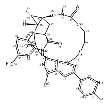 CC(=O)c1nn2c3c(cc(-c4cnc(C)nc4)cc13)CCCCCC(=O)N(C)C[C@@]13C[C@@H](C(=O)Nc4nc(C(F)(F)F)ccc4C)N(C(=O)C2)[C@@H]1[C@@H]3C